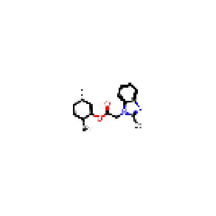 CCc1nc2ccccc2n1CC(=O)OC1C[C@@H](C)CCC1C(C)C